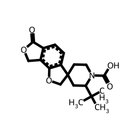 CC(C)(C)C1CC2(CCN1C(=O)O)COc1c2ccc2c1COC2=O